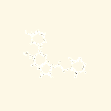 CC1=C=C=CC(c2cc3c(OCc4ncccn4)noc3cc2F)=C1